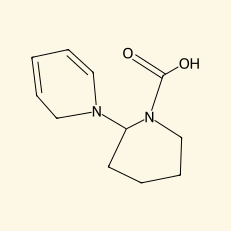 O=C(O)N1CCCCC1N1C=CC=CC1